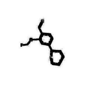 O=Cc1ccc(-c2ccccc2)cc1OCF